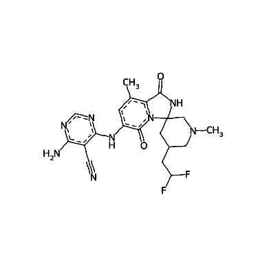 Cc1cc(Nc2ncnc(N)c2C#N)c(=O)n2c1C(=O)NC21CC(CC(F)F)CN(C)C1